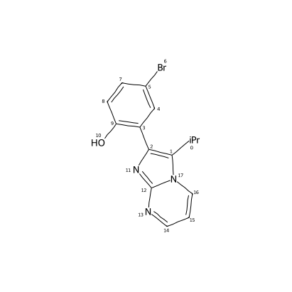 CC(C)c1c(-c2cc(Br)ccc2O)nc2ncccn12